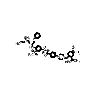 C=C(CCCC)C1=C(CN2CCN(c3ccc(C(=O)NS(=O)(=O)c4ccc(N[C@H](CCN(C)CCO)CSc5ccccc5)c(S(=O)(=O)C(F)(F)F)c4)cc3)CC2)CCC(C)(C)C1